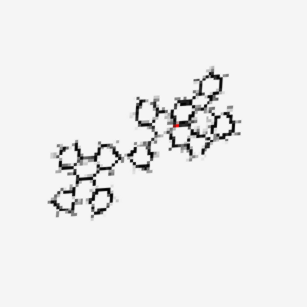 c1ccc(-c2c(-c3ccccc3)c3cc(-c4cccc(N(c5ccc6ccccc6c5)c5ccccc5-c5ccc6c(c5)c5ccccc5n6-c5ccccc5)c4)ccc3c3ccccc23)cc1